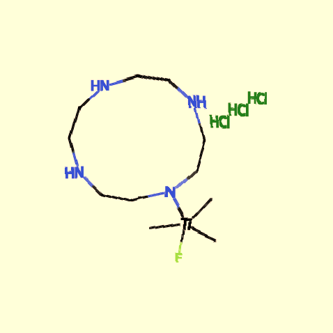 Cl.Cl.Cl.[CH3][Ti]([CH3])([CH3])([F])[N]1CCNCCNCCNCC1